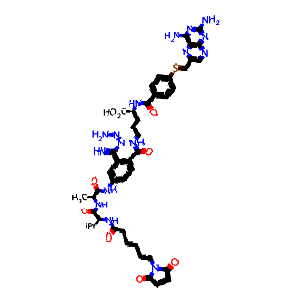 CC(C)[C@H](NC(=O)CCCCCN1C(=O)C=CC1=O)C(=O)N[C@@H](C)C(=O)Nc1ccc(C(=O)NCCC[C@H](NC(=O)c2ccc(SCc3cnc4nc(N)nc(N)c4n3)cc2)C(=O)O)c(C(=N)/N=N\N)c1